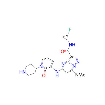 CNc1cc(Nc2cccn(C3CCNCC3)c2=O)nc2c(C(=O)N[C@@H]3C[C@@H]3F)cnn12